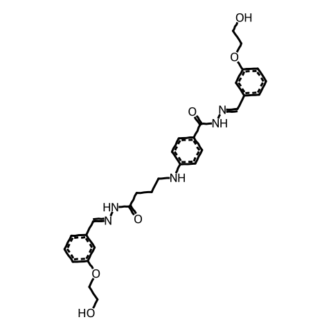 O=C(CCCNc1ccc(C(=O)NN=Cc2cccc(OCCO)c2)cc1)NN=Cc1cccc(OCCO)c1